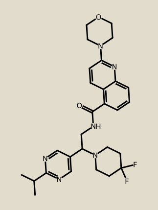 CC(C)c1ncc(C(CNC(=O)c2cccc3nc(N4CCOCC4)ccc23)N2CCC(F)(F)CC2)cn1